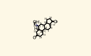 C[C@]12CCC3C(C/C(=N\O)[C@H]4CC(=O)CC[C@]34C)C1CCC2=O